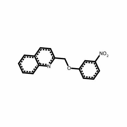 O=[N+]([O-])c1cccc(OCc2ccc3ccccc3n2)c1